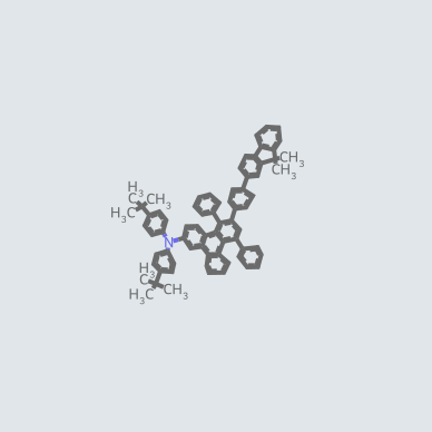 CC(C)(C)c1ccc(N(c2ccc(C(C)(C)C)cc2)c2ccc3c(c2)c2ccccc2c2c(-c4ccccc4)cc(-c4ccc(-c5ccc6c(c5)C(C)(C)c5ccccc5-6)cc4)c(-c4ccccc4)c32)cc1